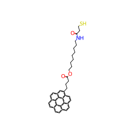 O=C(CCS)NCCCCCCCCCOC(=O)CCCc1cc2ccc3ccc4ccc5ccc6ccc1c1c6c5c4c3c21